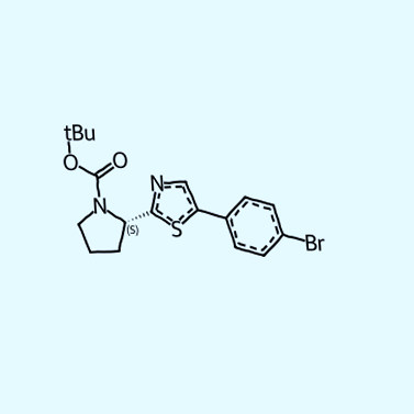 CC(C)(C)OC(=O)N1CCC[C@H]1c1ncc(-c2ccc(Br)cc2)s1